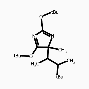 CC(C(C)C1(C)N=C(OC(C)(C)C)N=C1OC(C)(C)C)C(C)(C)C